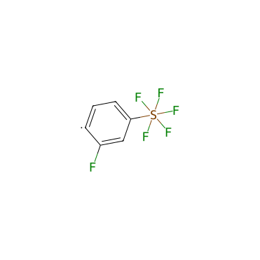 Fc1[c]ccc(S(F)(F)(F)(F)F)c1